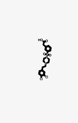 O=C(O)Cc1cccc(S(=O)(=O)N2CCN(CCc3ccc(Cl)c(Cl)c3)CC2)c1